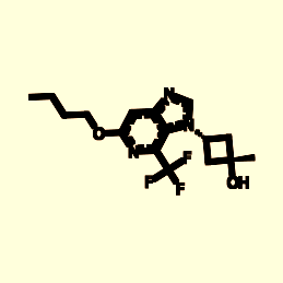 CCCCOc1cc2ncn([C@H]3C[C@@](C)(O)C3)c2c(C(F)(F)F)n1